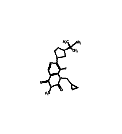 CC(C)(N)[C@@H]1CCN(c2ccc3c(=O)n(N)c(=O)n(CC4CC4)c3c2F)C1